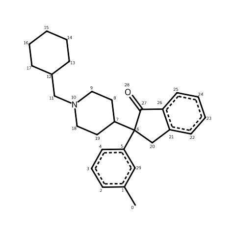 Cc1cccc(C2(C3CCN(CC4CCCCC4)CC3)Cc3ccccc3C2=O)c1